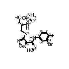 NS(=O)(=O)N[C@H](CO)CSc1nonc1/C(=N\O)Nc1ccc(F)c(Br)c1